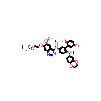 COCCOc1cc2ncnc(Nc3ccc(Nc4ccc5c(c4)OCCO5)c(C4=CC(=O)C=CC4=O)c3)c2cc1OC